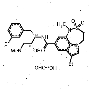 CCc1cn2c3c(cc(C(=O)N[C@@H](Cc4cccc(Cl)c4)[C@H](O)CNC)cc13)N(C)S(=O)(=O)CC2.O=CO